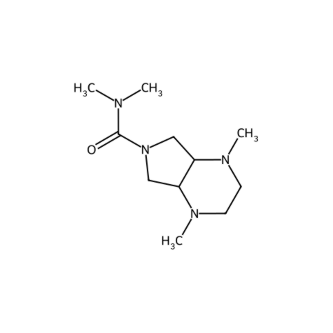 CN(C)C(=O)N1CC2C(C1)N(C)CCN2C